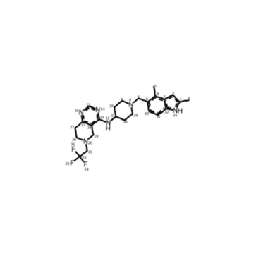 Cc1cc2c(C)c(CN3CCC(Nc4ncnc5c4CN(CC(F)(F)F)CC5)CC3)ccc2[nH]1